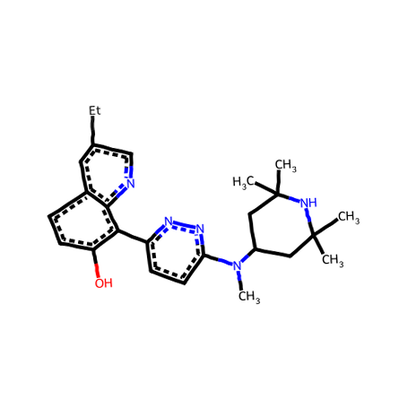 CCc1cnc2c(-c3ccc(N(C)C4CC(C)(C)NC(C)(C)C4)nn3)c(O)ccc2c1